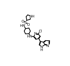 O=S(=O)(NC1CCC(Nc2cc(-c3c[nH]c4ncccc34)cc(Cl)n2)CC1)C1CCNC1